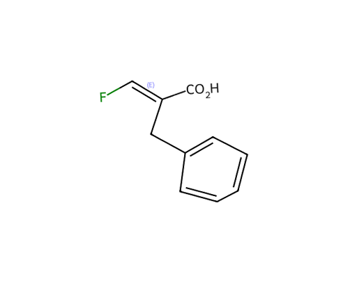 O=C(O)/C(=C/F)Cc1ccccc1